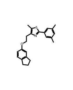 Cc1cc(C)cc(-c2nc(CCOc3ccc4c(c3)CCC4)c(C)s2)c1